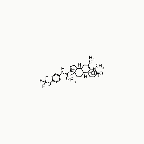 CC1=C2N(C)C(=O)CC[C@]2(C)[C@H]2CC[C@]3(C)[C@@H](C(=O)Nc4ccc(OC(F)(F)F)cc4)CC[C@H]3[C@@H]2C1